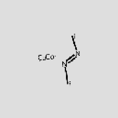 [C]N=N[C].[Co].[Cu]